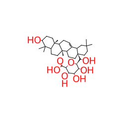 CC1(C)CC[C@]2(C(O)[C@@H]3OC(C(=O)O)[C@@H](O)C(O)C3O)CCC3C(=CCC4[C@@]3(C)CCC3C(C)(C)[C@@H](O)CC[C@@]34C)C2C1